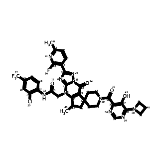 Cc1ccc(-c2nc3n(CC(=O)Nc4ccc(C(F)(F)F)cc4Cl)c4c(c(=O)n3n2)C2(CCN(C(=O)c3ncnc(N5CCC5)c3O)CC2)CC4C)c(F)n1